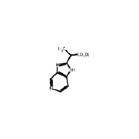 CCOC(=O)C(C)c1nc2cnccc2[nH]1